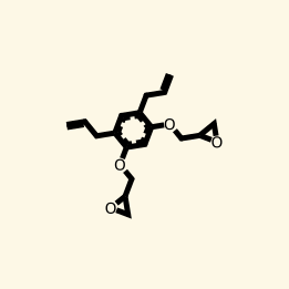 C=CCc1cc(CC=C)c(OCC2CO2)cc1OCC1CO1